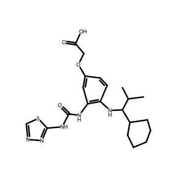 CC(C)C(Nc1ccc(OCC(=O)O)cc1NC(=O)Nc1nncs1)C1CCCCC1